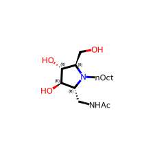 CCCCCCCCN1[C@H](CO)[C@@H](O)[C@H](O)[C@H]1CNC(C)=O